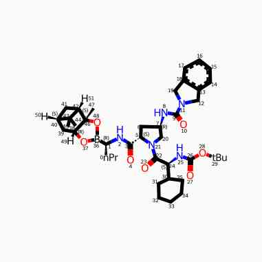 CCC[C@H](NC(=O)[C@@H]1C[C@@H](NC(=O)N2Cc3ccccc3C2)CN1C(=O)[C@@H](NC(=O)OC(C)(C)C)C1CCCCC1)B1O[C@@H]2C[C@@H]3C[C@@H](C3(C)C)[C@]2(C)O1